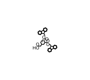 O=C(O)CC1CCN(C(=O)OCC2c3ccccc3-c3ccccc32)C(C(=O)OCC2c3ccccc3-c3ccccc32)C1